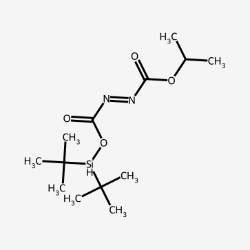 CC(C)OC(=O)N=NC(=O)O[SiH](C(C)(C)C)C(C)(C)C